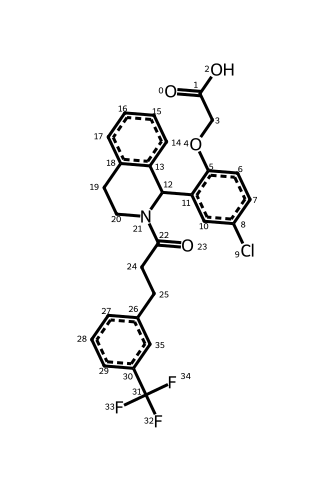 O=C(O)COc1ccc(Cl)cc1C1c2ccccc2CCN1C(=O)CCc1cccc(C(F)(F)F)c1